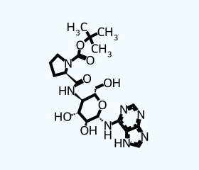 CC(C)(C)OC(=O)N1CCC[C@@H]1C(=O)N[C@@H]1[C@@H](O)[C@H](O)[C@@H](Nc2ncnc3nc[nH]c23)O[C@H]1CO